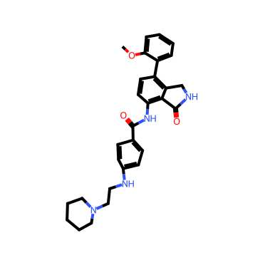 COc1ccccc1-c1ccc(NC(=O)c2ccc(NCCN3CCCCC3)cc2)c2c1CNC2=O